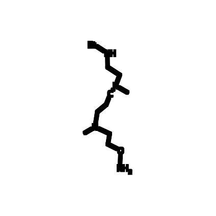 CCNCCN(C)CCCN(C)CCON